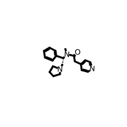 CN(C(=O)Cc1ccncc1)[C@H](CN1CCCC1)c1ccccc1